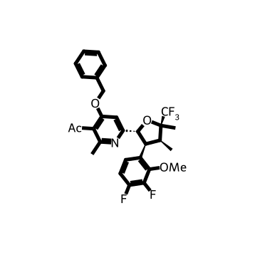 COc1c([C@H]2[C@H](c3cc(OCc4ccccc4)c(C(C)=O)c(C)n3)O[C@@](C)(C(F)(F)F)[C@H]2C)ccc(F)c1F